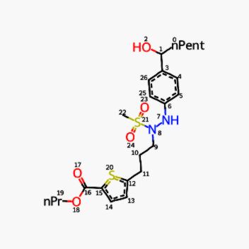 CCCCCC(O)c1ccc(NN(CCCc2ccc(C(=O)OCCC)s2)S(C)(=O)=O)cc1